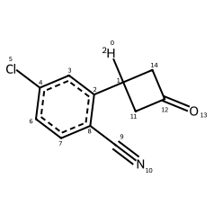 [2H]C1(c2cc(Cl)ccc2C#N)CC(=O)C1